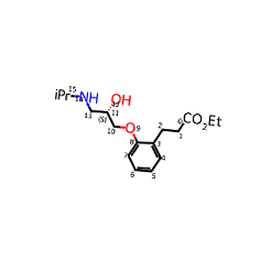 CCOC(=O)CCc1ccccc1OC[C@@H](O)CNC(C)C